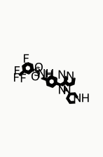 Nc1nccc2c1c(-c1ccc(CNS(=O)(=O)c3cc(F)cc(C(F)(F)F)c3)cc1)nn2[C@@H]1CCCNC1